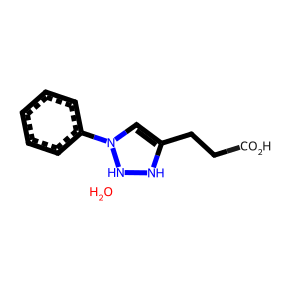 O.O=C(O)CCC1=CN(c2ccccc2)NN1